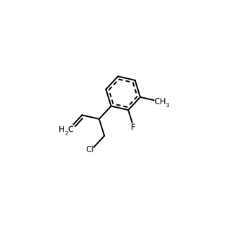 C=CC(CCl)c1cccc(C)c1F